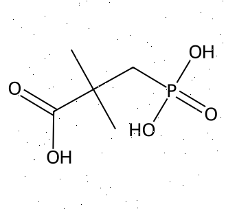 CC(C)(CP(=O)(O)O)C(=O)O